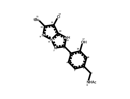 CC(=O)NCc1ccc(-c2nn3nc(C(C)(C)C)c(Cl)c3[nH]2)c(O)c1